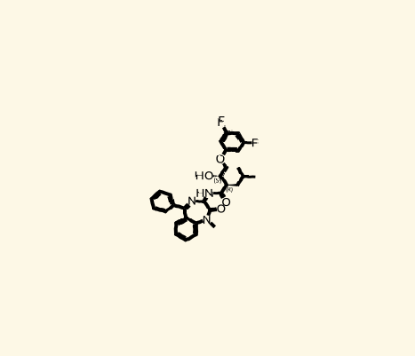 CC(C)C[C@@H](C(=O)NC1N=C(c2ccccc2)c2ccccc2N(C)C1=O)[C@H](O)COc1cc(F)cc(F)c1